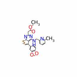 CCOC(=O)Cc1nc(NCc2cccc(C)n2)c2c(-c3ccc4c(c3)OCO4)csc2n1